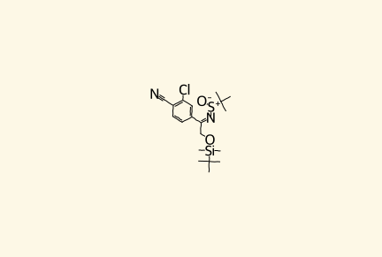 CC(C)(C)[S@@+]([O-])/N=C(/CO[Si](C)(C)C(C)(C)C)c1ccc(C#N)c(Cl)c1